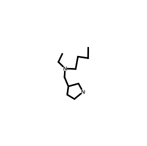 CCCCN(CC)CC1CC[N]C1